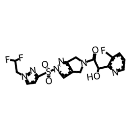 O=C(C(O)c1ncccc1F)N1Cc2cn(S(=O)(=O)c3ccn(CC(F)F)n3)nc2C1